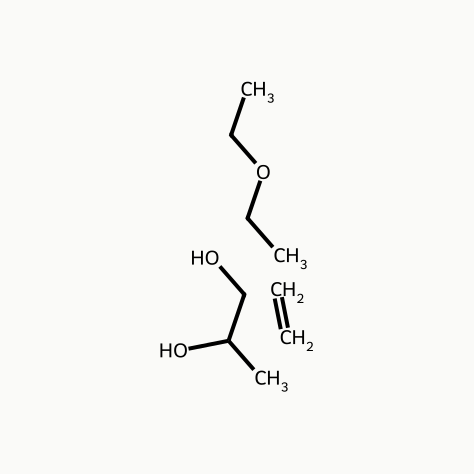 C=C.CC(O)CO.CCOCC